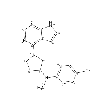 CN(c1ccc(F)cn1)[C@@H]1CCN(c2ncnc3[nH]ccc23)C1